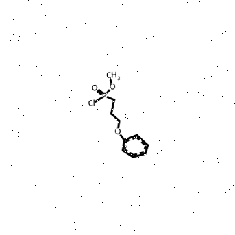 COP(=O)(Cl)CCCOc1ccccc1